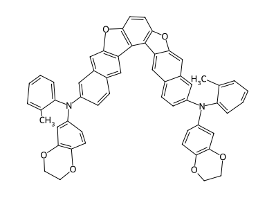 Cc1ccccc1N(c1ccc2c(c1)OCCO2)c1ccc2cc3c(cc2c1)oc1ccc2oc4cc5cc(N(c6ccc7c(c6)OCCO7)c6ccccc6C)ccc5cc4c2c13